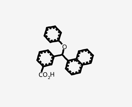 O=C(O)c1cccc(C(Oc2ccccc2)c2cccc3ccccc23)c1